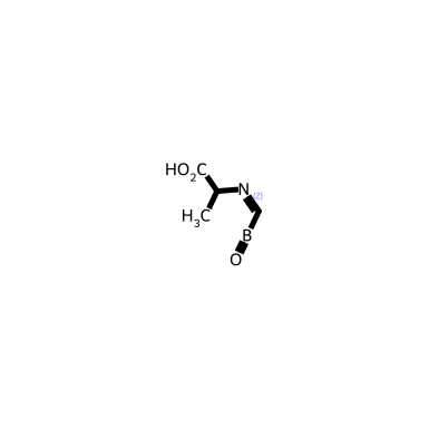 CC(/N=C\B=O)C(=O)O